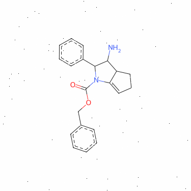 NC1C2CCC=C2N(C(=O)OCc2ccccc2)C1c1ccccc1